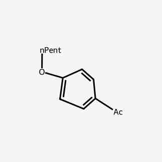 [CH2]CCCCOc1ccc(C(C)=O)cc1